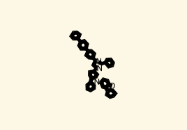 c1ccc(-c2ccc(-c3ccc(-c4cc(-c5ccc6c7ccccc7n(-c7ccc8oc9ccccc9c8c7)c6c5)nc(-c5ccccc5)n4)cc3)cc2)cc1